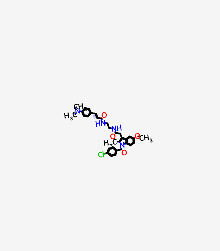 COc1ccc2c(c1)c(CC(=O)NCCNC(=O)/C=C/c1ccc(N(C)C)cc1)c(C)n2C(=O)c1ccc(Cl)cc1